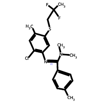 Cc1ccc(/C(=N/c2cc(SCC(C)(F)F)c(C)cc2Cl)N(C)C)cc1